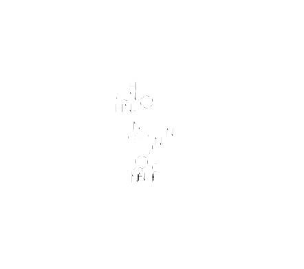 Cc1cc(CC(OC(=O)N2CCC3(CC2)NC(=O)Nc2ccccc23)C(=O)N2CCN(C3CCCCC3)CC2)cc2cn[nH]c12